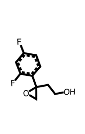 OCCC1(c2ccc(F)cc2F)CO1